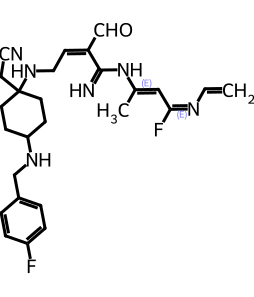 C=C/N=C(F)\C=C(/C)NC(=N)C(C=O)=CCNC1(CC#N)CCC(NCc2ccc(F)cc2)CC1